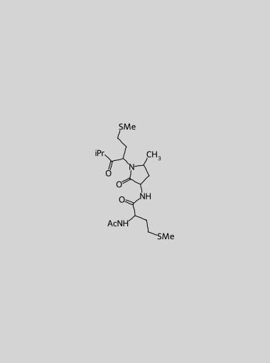 CSCCC(NC(C)=O)C(=O)NC1CC(C)N(C(CCSC)C(=O)C(C)C)C1=O